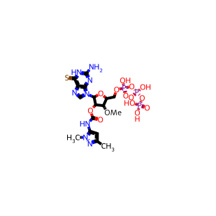 COC1C(COP(=O)(O)OP(=O)(O)OP(=O)(O)O)OC(n2cnc3c(=S)[nH]c(N)nc32)C1OC(=O)Nc1cc(C)nn1C